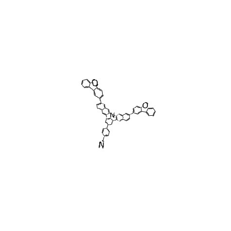 N#Cc1ccc(-c2cc3c4cc5ccc(-c6ccc7oc8ccccc8c7c6)cc5cc4n4c5cc6cc(-c7ccc8oc9ccccc9c8c7)ccc6cc5c(c2)c34)cc1